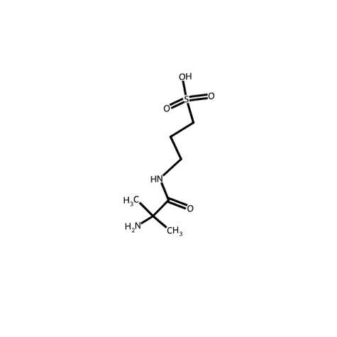 CC(C)(N)C(=O)NCCCS(=O)(=O)O